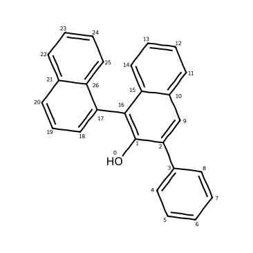 Oc1c(-c2ccccc2)cc2ccccc2c1-c1cccc2ccccc12